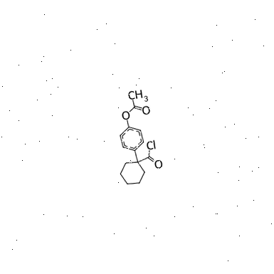 CC(=O)Oc1ccc(C2(C(=O)Cl)CCCCC2)cc1